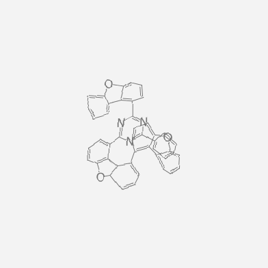 C1=CC2Oc3cccc(-c4nc(-c5ccccc5)nc(-c5cccc6oc7ccccc7c56)n4)c3C2C(c2cccc3oc4ccccc4c23)=C1